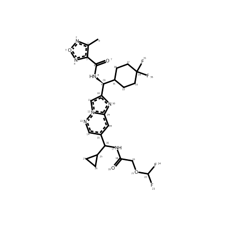 Cc1nonc1C(=O)N[C@H](c1cn2ncc(C(NC(=O)COC(F)F)C3CC3)cc2n1)C1CCC(F)(F)CC1